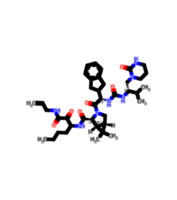 C=CCNC(=O)C(=O)C(CCCC)NC(=O)[C@@H]1[C@@H]2[C@H](CN1C(=O)[C@@H](NC(=O)N[C@H](CN1CCCNC1=O)C(C)C)C1Cc3ccccc3C1)C2(C)C